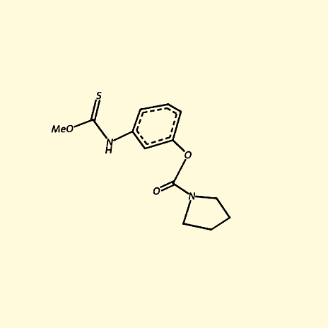 COC(=S)Nc1cccc(OC(=O)N2CCCC2)c1